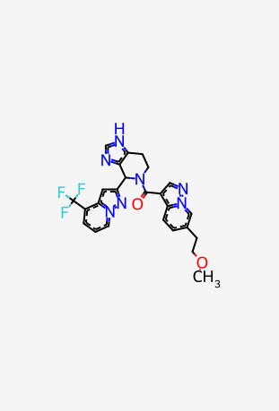 COCCc1ccc2c(C(=O)N3CCc4[nH]cnc4C3c3cc4c(C(F)(F)F)cccn4n3)cnn2c1